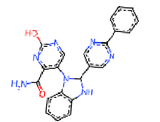 NC(=O)c1nc(O)ncc1N1c2ccccc2NC1c1cnc(-c2ccccc2)nc1